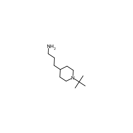 CC(C)(C)N1CCC(CCCN)CC1